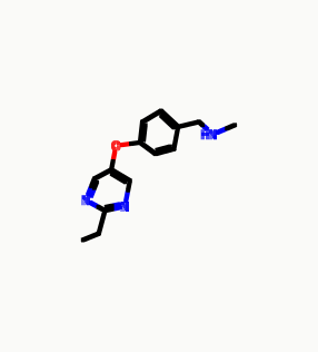 CCc1ncc(Oc2ccc(CNC)cc2)cn1